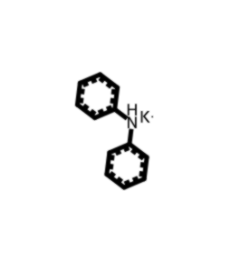 [K].c1ccc(Nc2ccccc2)cc1